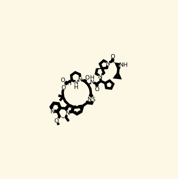 CCn1c(-c2cccnc2[C@H](C)OC)c2c3cc(ccc31)-c1csc(n1)C[C@H](NC(=O)C(C1CCCC1)N1CC[C@]3(CCN(C(=O)[C@@H]4NC4C4CC4)C3)C1)C(=O)N1CCC[C@H](N1)C(=O)OCC(C)(C)C2